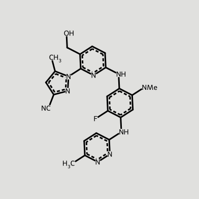 CNc1cc(Nc2ccc(C)nn2)c(F)cc1Nc1ccc(CO)c(-n2nc(C#N)cc2C)n1